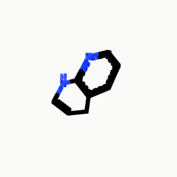 [c]1ccc2c(n1)NC=CC2